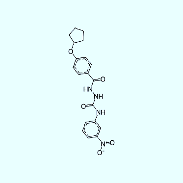 O=C(NNC(=O)c1ccc(OC2CCCC2)cc1)Nc1cccc([N+](=O)[O-])c1